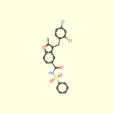 Cc1oc2ccc(C(=O)NS(=O)(=O)c3ccccc3)cc2c1Cc1ccc(Cl)cc1Cl